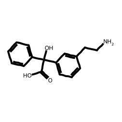 NCCc1cccc(C(O)(C(=O)O)c2ccccc2)c1